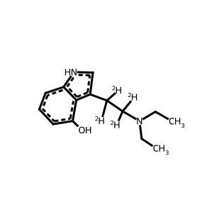 [2H]C([2H])(c1c[nH]c2cccc(O)c12)C([2H])([2H])N(CC)CC